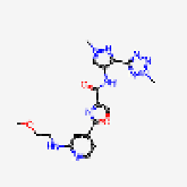 COCCNc1cc(-c2nc(C(=O)Nc3cn(C)nc3-c3nnn(C)n3)co2)ccn1